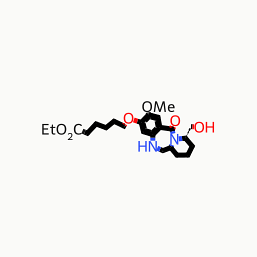 CCOC(=O)CCCCCOc1cc2c(cc1OC)C(=O)N1C(CCC[C@H]1CO)CN2